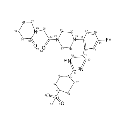 CS(=O)(=O)C1CCN(c2ncc(-c3cc(F)ccc3N3CCN(C(=O)CN4CCCCC4=O)CC3)cn2)CC1